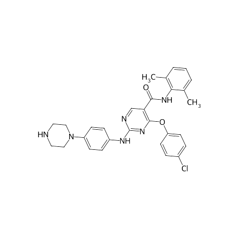 Cc1cccc(C)c1NC(=O)c1cnc(Nc2ccc(N3CCNCC3)cc2)nc1Oc1ccc(Cl)cc1